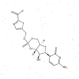 Nc1ccn([C@@H]2S[C@@H]3COP(=O)(OCc4cnc([N+](=O)[O-])s4)O[C@H]3[C@@H]2O)c(=O)n1